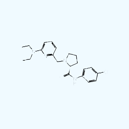 CCN(CC)c1cccc(CN2CCC[C@H]2C(=O)Nc2ccc(Cl)cc2)n1